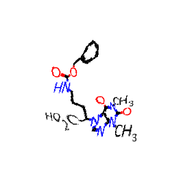 Cn1c(=O)c2c(ncn2C(CCCNC(=O)OCc2ccccc2)C(=O)O)n(C)c1=O